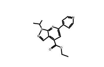 CCOC(=O)c1cc(-c2ccncc2)nc2c1cnn2C(C)C